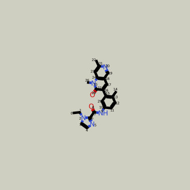 CCn1ccnc1C(=O)Nc1ccc(C)c(-c2cc3cnc(C)cc3n(C)c2=O)c1